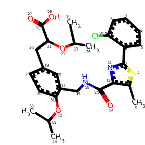 Cc1sc(-c2ccccc2Cl)nc1C(=O)NCc1cc(CC(OC(C)C)C(=O)O)ccc1OC(C)C